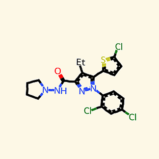 CCc1c(C(=O)NN2CCCC2)nn(-c2ccc(Cl)cc2Cl)c1-c1ccc(Cl)s1